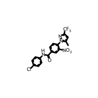 Cc1cc(C(F)(F)F)nn1-c1ccc(C(=O)Nc2ccc(Cl)cc2)cc1[N+](=O)[O-]